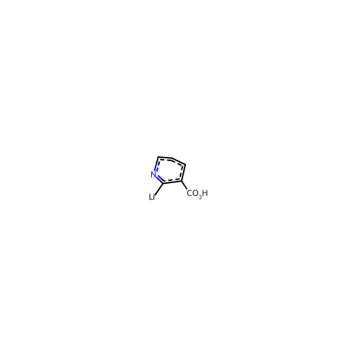 [Li][c]1ncccc1C(=O)O